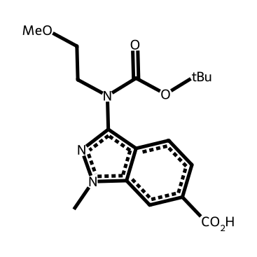 COCCN(C(=O)OC(C)(C)C)c1nn(C)c2cc(C(=O)O)ccc12